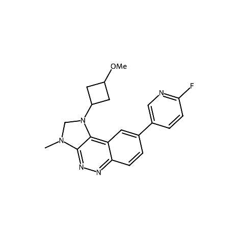 COC1CC(N2CN(C)c3nnc4ccc(-c5ccc(F)nc5)cc4c32)C1